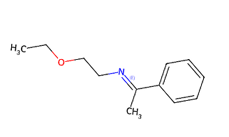 CCOCC/N=C(\C)c1ccccc1